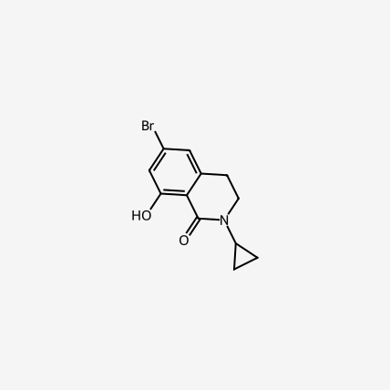 O=C1c2c(O)cc(Br)cc2CCN1C1CC1